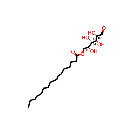 CCCCCCCCCCCCCCCC(=O)OC[C@@H](O)[C@H](O)[C@H](O)[C@@H](O)C=O